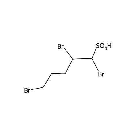 O=S(=O)(O)C(Br)C(Br)CCCBr